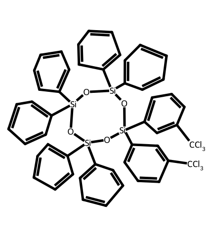 ClC(Cl)(Cl)c1cccc([Si]2(c3cccc(C(Cl)(Cl)Cl)c3)O[Si](c3ccccc3)(c3ccccc3)O[Si](c3ccccc3)(c3ccccc3)O[Si](c3ccccc3)(c3ccccc3)O2)c1